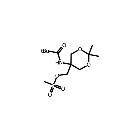 CC1(C)OCC(COS(C)(=O)=O)(NC(=O)C(C)(C)C)CO1